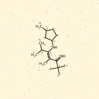 C/C(C(=N)C(F)(F)F)=C(/NC1CCC(C)C1)C(C)C